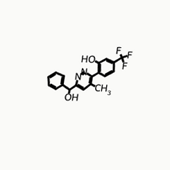 Cc1cc(C(O)c2ccccc2)nnc1-c1ccc(C(F)(F)F)cc1O